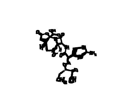 CC[C@H](O/N=C(\C(=O)N[C@@H]1C(=O)N2[C@@H]1[S@@+]([O-])C[C@@H]1CC(=O)O[C@@]12C(=O)O)c1csc(N)n1)C(=O)O